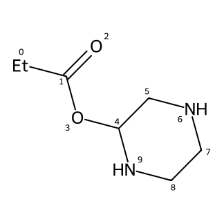 CCC(=O)OC1CNCCN1